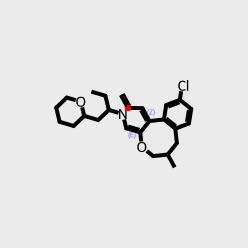 C=C/C=C1\C(=C/N(C)C(CC)CC2CCCCO2)OCC(C)Cc2ccc(Cl)cc21